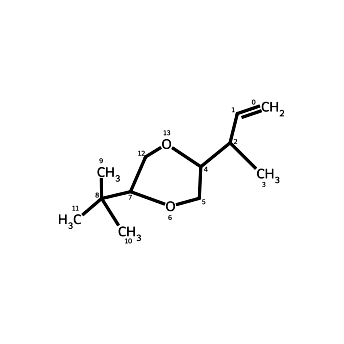 C=CC(C)C1COC(C(C)(C)C)CO1